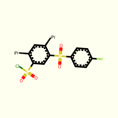 CC(C)c1cc(C(C)C)c(S(=O)(=O)c2ccc(F)cc2)cc1S(=O)(=O)Cl